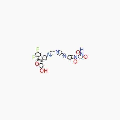 O=C1CCC(N2Cc3cc(N4CC5(CCN(CC6CCN(c7ccc([C@H]8c9ccc(O)cc9OC[C@H]8c8ccc(F)cc8F)cc7)CC6)CC5)C4)ccc3C2=O)C(=O)N1